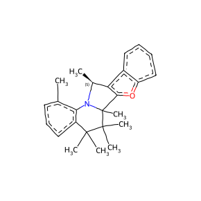 Cc1cccc2c1N1[C@@H](C)c3c(oc4ccccc34)C1(C)C(C)(C)C2(C)C